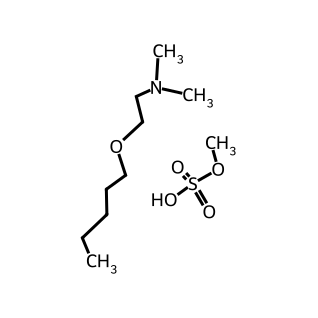 CCCCCOCCN(C)C.COS(=O)(=O)O